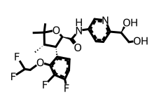 C[C@H]1[C@@H](c2ccc(F)c(F)c2OCC(F)F)[C@H](C(=O)Nc2ccc([C@@H](O)CO)nc2)OC1(C)C